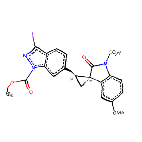 COc1ccc2c(c1)[C@]1(C[C@H]1c1ccc3c(I)nn(C(=O)OC(C)(C)C)c3c1)C(=O)N2C(=O)O